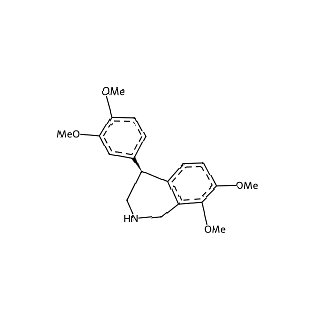 COc1ccc([C@@H]2CNCc3c2ccc(OC)c3OC)cc1OC